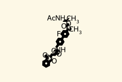 CC(=O)NC[C@@H](C)OC(=O)N(C)c1ccc(-c2ccc(CNS(=O)(=O)CCN3C(=O)c4ccccc4C3=O)cc2)c(F)c1